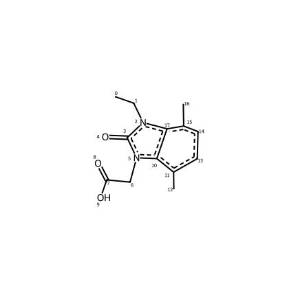 CCn1c(=O)n(CC(=O)O)c2c(C)ccc(C)c21